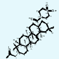 CC(=O)C[C@H]1CC[C@]2(C)[C@H]3CC=C4[C@@H]5CC(C)(C)CC[C@]5(C(=O)N5CCS(=O)(=O)CC5)CC[C@@]4(C)[C@]3(C)CC[C@H]2C1(C)C